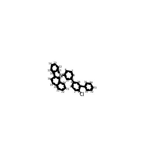 Clc1ccc(-c2cccc(-n3c4ccccc4c4ccc5ccccc5c43)c2)cc1-c1ccccc1